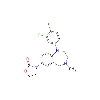 CN1CCN(c2ccc(F)c(F)c2)c2ccc(N3CCOC3=O)cc2C1